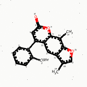 COc1ccccc1-c1cc(=O)oc2c(C)c3occ(C)c3cc12